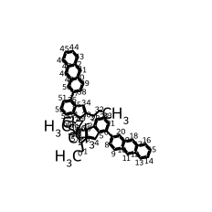 CCCC1=Cc2c(-c3ccc4cc5ccccc5cc4c3)cccc2[CH]1[Zr]([Cl])([Cl])([CH]1C(CCC)=Cc2c(-c3ccc4cc5ccccc5cc4c3)cccc21)=[Si](C)C